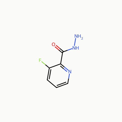 NNC(=O)c1ncccc1F